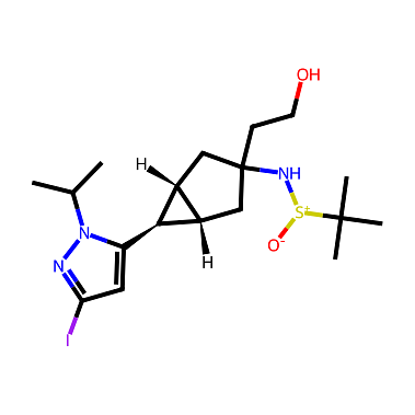 CC(C)n1nc(I)cc1[C@H]1[C@@H]2CC(CCO)(N[S+]([O-])C(C)(C)C)C[C@@H]21